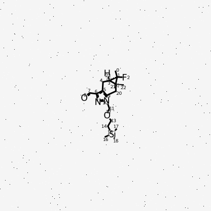 CC1(F)[C@H]2Cc3c(C=O)nn(COCC[Si](C)(C)C)c3C[C@]21C